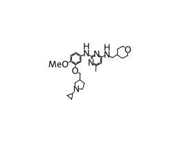 COc1ccc(Nc2nc(C)cc(NCC3CCOCC3)n2)cc1OCC1CCN(C2CC2)C1